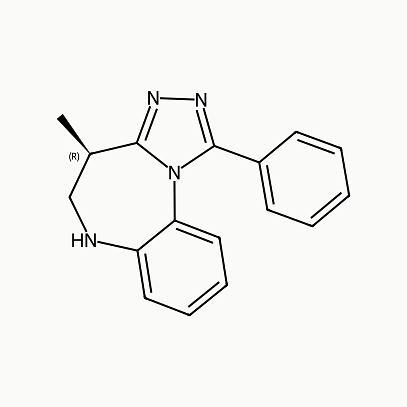 C[C@@H]1CNc2ccccc2-n2c(-c3ccccc3)nnc21